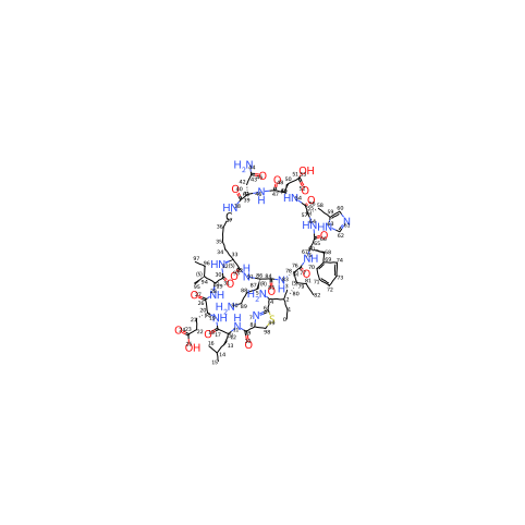 CCC(C)C(N)C1=NC(C(=O)N[C@@H](CC(C)C)C(=O)N[C@H](CCC(=O)O)C(=O)N[C@H](C(=O)N[C@H]2CCCCNC(=O)[C@H](CC(N)=O)NC(=O)[C@@H](CC(=O)O)NC(=O)[C@H](Cc3cnc[nH]3)NC(=O)[C@@H](Cc3ccccc3)NC(=O)[C@H]([C@@H](C)CC)NC(=O)[C@@H](CCCN)NC2=O)[C@@H](C)CC)CS1